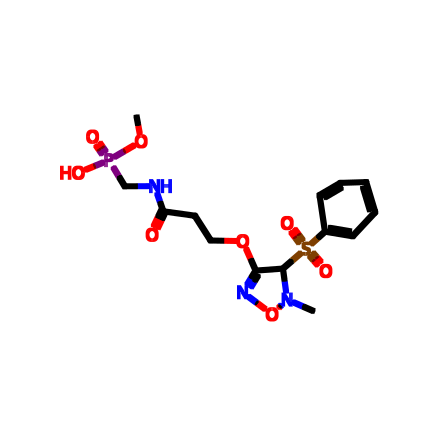 COP(=O)(O)CNC(=O)CCOC1=NON(C)C1S(=O)(=O)c1ccccc1